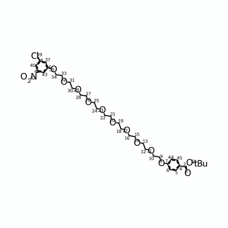 CC(C)(C)OC(=O)c1ccc(OCCOCCOCCOCCOCCOCCOCCOCCOCCOc2cc(Cl)cc([N+](=O)[O-])c2)cc1